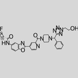 O=C(Nc1ccc2oc(-c3ccnc(C(=O)N4CCN(C(c5ccccc5)c5nnn(CCO)n5)CC4)c3)nc2c1)[C@@H]1C[C@@H]1F